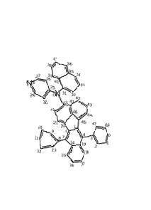 c1ccc(-c2c3c(c(-c4ccccc4)c4ccccc24)-c2ccc(N(c4ccncc4)c4cccc5ccccc45)c4cccc-3c24)cc1